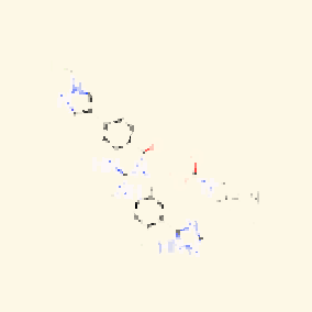 CCNC(=N)N(C(=O)c1ccc(-c2cnn(C(F)F)c2)cc1)[C@H](COC(=O)N1CC(C)(C#N)C1)c1ccc(Cl)c(-c2ncn[nH]2)c1